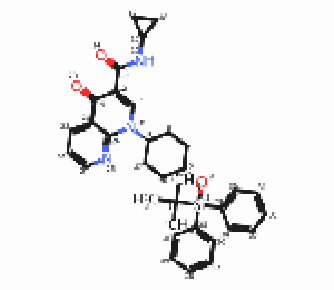 CC(C)(C)[Si](O[C@H]1CC[C@H](n2cc(C(=O)NC3CC3)c(=O)c3cccnc32)CC1)(c1ccccc1)c1ccccc1